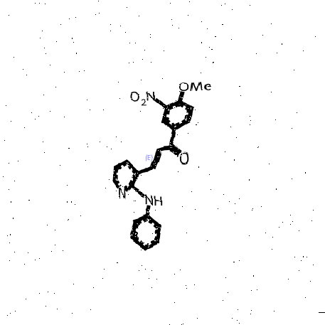 COc1ccc(C(=O)/C=C/c2cccnc2Nc2ccccc2)cc1[N+](=O)[O-]